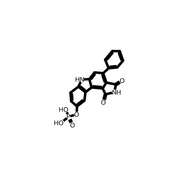 O=C1NC(=O)c2c1c(-c1ccccc1)cc1[nH]c3ccc(OP(=O)(O)O)cc3c21